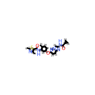 Cc1nc(C)c(C(=O)Nc2cc(Oc3ccc4nc(NC(=O)C5CC5)cn4n3)ccc2C)s1